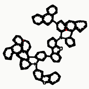 c1cc(-c2cc3ccccc3c3ccccc23)cc(N(c2ccc3oc4ccccc4c3c2)c2cc(-c3cccc4oc5c(N(c6cccc(-c7cc8ccccc8c8ccccc78)c6)c6ccccc6-c6cccc7ccccc67)cccc5c34)ccc2-c2cccc3ccccc23)c1